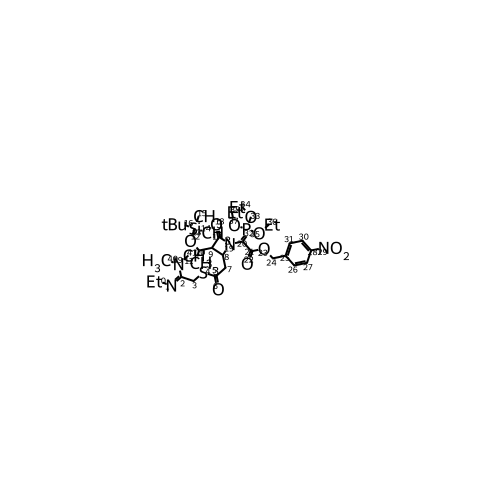 CCN=C(CSC(=O)CC1C(C(C)O[Si](C)(C)C(C)(C)C)C(=O)N1C(C(=O)OCc1ccc([N+](=O)[O-])cc1)=P(OCC)(OCC)OCC)N(C)C